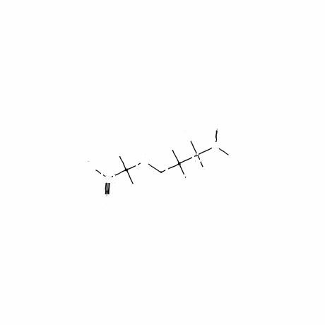 CC(C)(OCC(F)(F)C(F)(F)N(C(F)(F)F)C(F)(F)F)[PH](=O)O